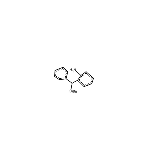 CC(C)CON(c1ccccc1)c1ccccc1N